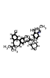 CN/N=C1/C=CC(NC(=O)[C@H](C[C@@H]2COCCO2)n2cc3c(cc2=O)-c2cc(Cl)ccc2C[C@@H](C(C)C)OC3)=CC1=N